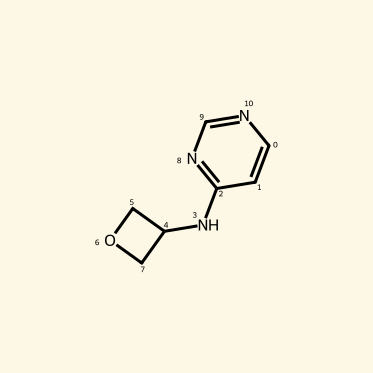 c1cc(NC2COC2)ncn1